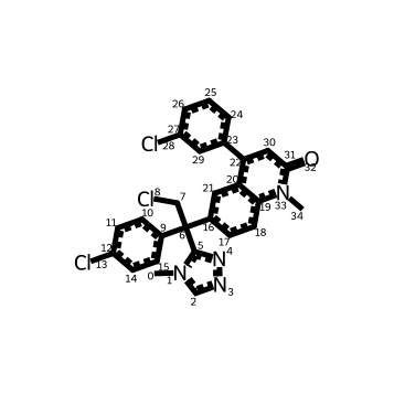 Cn1cnnc1C(CCl)(c1ccc(Cl)cc1)c1ccc2c(c1)c(-c1cccc(Cl)c1)cc(=O)n2C